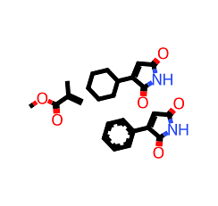 C=C(C)C(=O)OC.O=C1C=C(C2CCCCC2)C(=O)N1.O=C1C=C(c2ccccc2)C(=O)N1